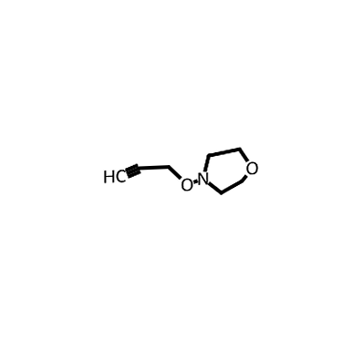 C#CCON1CCOCC1